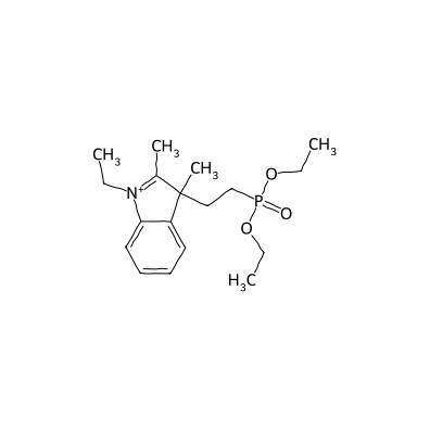 CCOP(=O)(CCC1(C)C(C)=[N+](CC)c2ccccc21)OCC